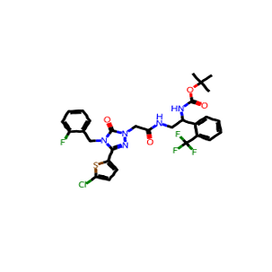 CC(C)(C)OC(=O)NC(CNC(=O)Cn1nc(-c2ccc(Cl)s2)n(Cc2ccccc2F)c1=O)c1ccccc1C(F)(F)F